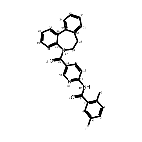 Cc1ccc(F)cc1C(=O)Nc1ccc(C(=O)N2CCc3ccccc3-c3ccccc32)cn1